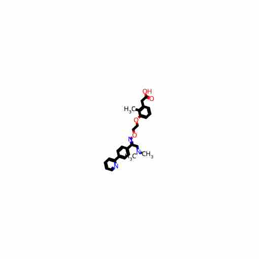 Cc1c(CC(=O)O)cccc1OCCON=C(CN(C)C)c1ccc(-c2ccccn2)cc1